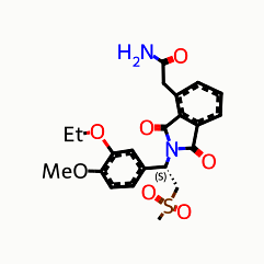 CCOc1cc([C@@H](CS(C)(=O)=O)N2C(=O)c3cccc(CC(N)=O)c3C2=O)ccc1OC